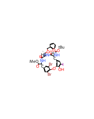 COC(=O)C1Cc2cc(Br)c(c(Br)c2)Oc2cc(cc(I)c2O)C[C@H](NC(=O)OC(C)(C)C)C(=O)N[C@@H]([C@H](C)OCc2ccccc2)C(=O)N1